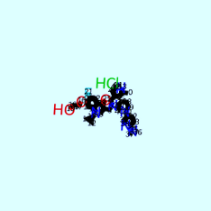 Cc1cc(CN(Cc2cn(C3CC3)c3cc(OCCO)c(F)cc3c2=O)[C@H]2CCCN(c3ccc(N(C)C)nc3)C2)ccn1.Cl